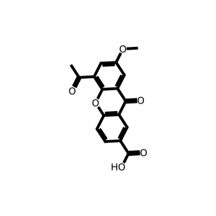 COc1cc(C(C)=O)c2oc3ccc(C(=O)O)cc3c(=O)c2c1